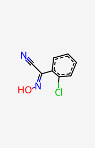 N#CC(=NO)c1ccccc1Cl